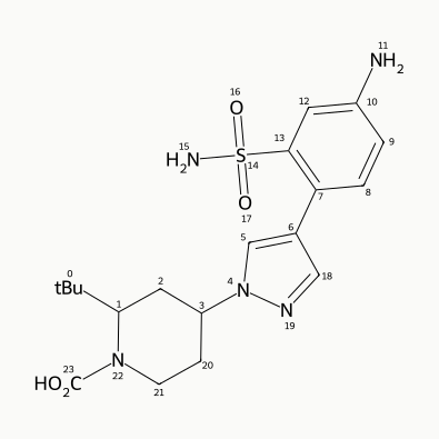 CC(C)(C)C1CC(n2cc(-c3ccc(N)cc3S(N)(=O)=O)cn2)CCN1C(=O)O